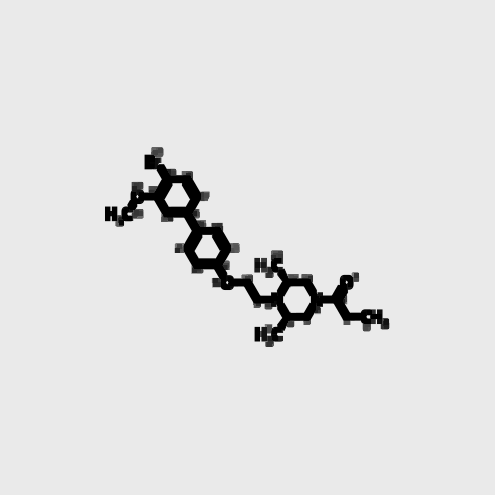 CCC(=O)N1C[C@@H](C)N(CCOc2ccc(-c3ccc(Br)c(OC)c3)cc2)[C@@H](C)C1